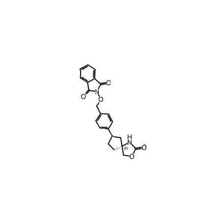 O=C1N[C@@]2(CCC(c3ccc(CON4C(=O)c5ccccc5C4=O)cc3)C2)CO1